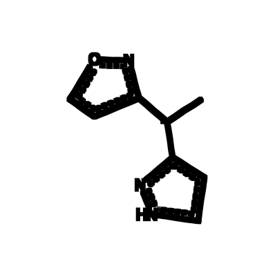 C[C](c1cc[nH]n1)c1ccon1